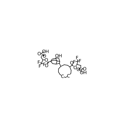 O=C(OC(CS(=O)(=O)O)C(F)(F)F)C1CCCCCCCCC(C2C3CC4(O)CC2CC(C(=O)OC(CS(=O)(=O)O)C(F)(F)F)(C3)C4)CC1